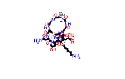 CCC(C)C1NC(=O)CNC(=O)C2Cc3c([nH]c4cc(OCCCCCCN)ccc34)SCC(NC(=O)CNC1=O)C(=O)NC(CC(N)=O)C(=O)N1CC(O)C[C@H]1C(=O)N[C@@H]([C@@H](C)[C@@H](O)CO)C(=O)N2